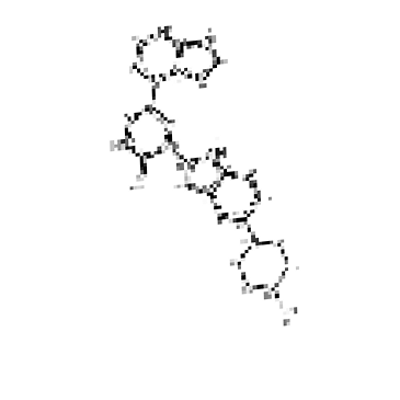 O=c1[nH]cc(-c2ccnc3[nH]ccc23)cc1-c1nc2cc(N3CCC(O)CC3)ccc2[nH]1